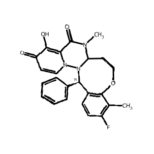 Cc1c(F)ccc2c1OCCC1N(C)C(=O)c3c(O)c(=O)ccn3N1[C@@H]2c1ccccc1